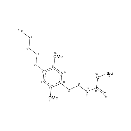 COc1cc(CCCCF)c(OC)nc1CCNC(=O)OC(C)(C)C